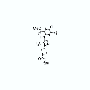 COC(=O)c1nc(Cl)c(C2CC2)nc1Nc1cnn(C2CCN(C(=O)OC(C)(C)C)CC2)c1C